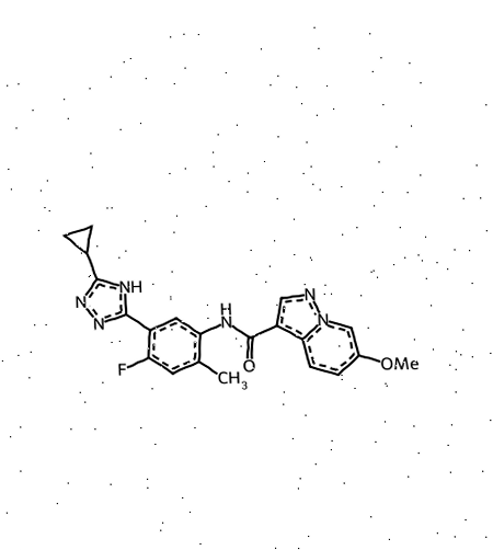 COc1ccc2c(C(=O)Nc3cc(-c4nnc(C5CC5)[nH]4)c(F)cc3C)cnn2c1